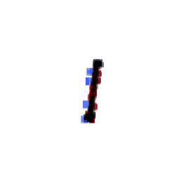 C=C1C[C@H]2[C@H](CS[C@H]2CCCCC(=O)NCCCOCCOCCOCCCNC(=O)CCCC(=O)NCCCCN(C)C(C)(C)C)N1